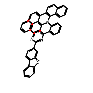 c1ccc(-c2nc(-c3ccc4c(c3)sc3ccccc34)nc(-c3ccccc3N3c4c(ccc5ccccc45)-c4cccc5cccc3c45)n2)cc1